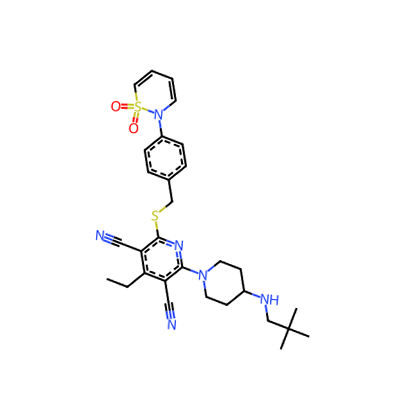 CCc1c(C#N)c(SCc2ccc(N3C=CC=CS3(=O)=O)cc2)nc(N2CCC(NCC(C)(C)C)CC2)c1C#N